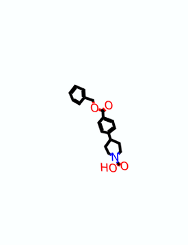 O=C(OCc1ccccc1)c1ccc(C2CCN(C(=O)O)CC2)cc1